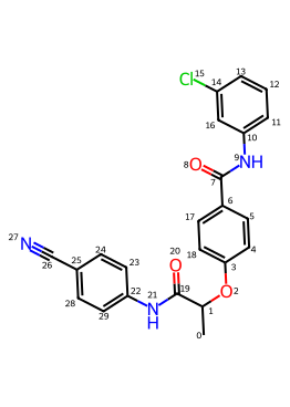 CC(Oc1ccc(C(=O)Nc2cccc(Cl)c2)cc1)C(=O)Nc1ccc(C#N)cc1